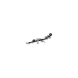 CN/C(=C\C=C(/N)CCCCc1nnc(NC(=O)Cc2ccccc2)s1)NC(=O)Cc1cccc(OCCCO)c1